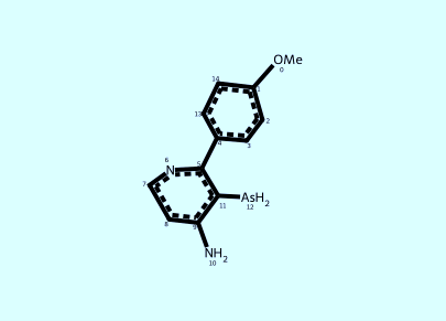 COc1ccc(-c2nccc(N)c2[AsH2])cc1